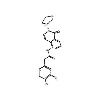 O=C(Cc1ccc(Cl)c(Cl)c1)Nc1cccc2c(=O)n([C@@H]3CCNC3)ccc12